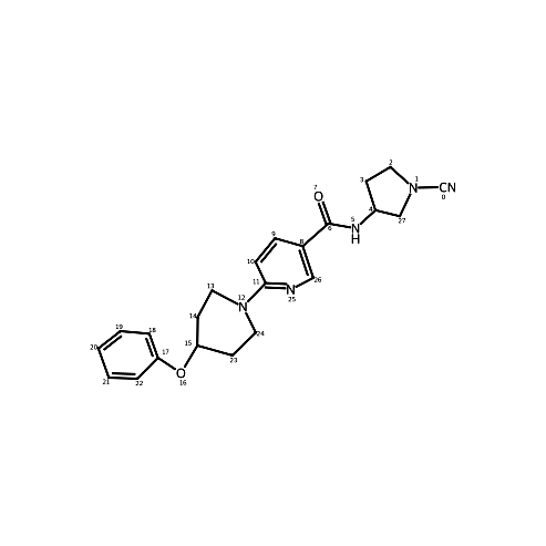 N#CN1CCC(NC(=O)c2ccc(N3CCC(Oc4ccccc4)CC3)nc2)C1